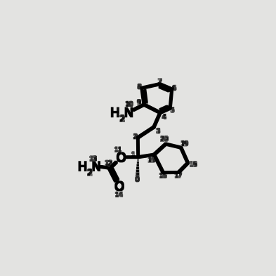 C[C@@](CCc1ccccc1N)(OC(N)=O)C1CCCCC1